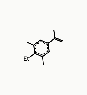 C=C(C)c1cc(C)c(CC)c(F)c1